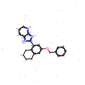 c1ccc(COc2cc3c(c(-c4nc5ncccc5[nH]4)c2)CCCC3)cc1